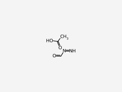 CC(=O)O.N=NC=O